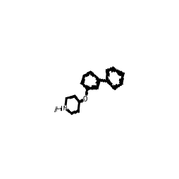 [c]1ccc(-c2ccccc2)cc1OC1CCNCC1